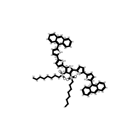 CCCCCCCCS(=O)(=O)c1c(-c2ccc(-c3ccc(-c4c5ccccc5cc5ccccc45)s3)s2)sc(-c2ccc(-c3ccc(-c4c5ccccc5cc5ccccc45)s3)s2)c1S(=O)(=O)CCCCCCCC